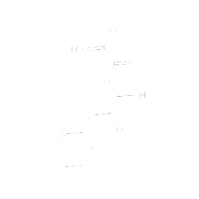 C=C(C)C(=O)OC(C)C(=O)OC1CSCCS1